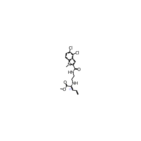 C=C/C=C(\NCCNC(=O)c1cc2c(Cl)c(Cl)ccc2n1C)C(=O)OC